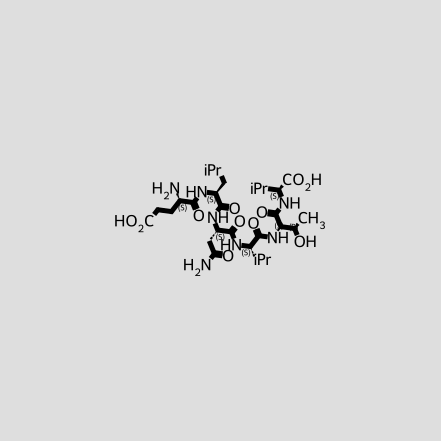 CC(C)C[C@H](NC(=O)[C@@H](N)CCC(=O)O)C(=O)N[C@@H](CC(N)=O)C(=O)N[C@H](C(=O)N[C@H](C(=O)N[C@H](C(=O)O)C(C)C)[C@@H](C)O)C(C)C